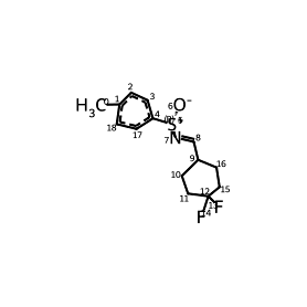 Cc1ccc([S@+]([O-])N=CC2CCC(F)(F)CC2)cc1